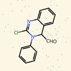 O=CC1c2ccccc2N=C(Cl)N1c1ccccc1